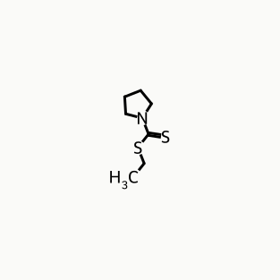 CCSC(=S)N1CCCC1